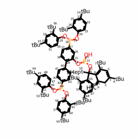 C=C1CC(C(C)(C)C)=CC(C(C)(C)C)=C1C(CCCCCCC)(OP(O)Oc1cc(P(Oc2ccc(C(C)(C)C)cc2C(C)(C)C)Oc2ccc(C(C)(C)C)cc2C(C)(C)C)ccc1-c1ccc(P(Oc2ccc(C(C)(C)C)cc2C(C)(C)C)Oc2ccc(C(C)(C)C)cc2C(C)(C)C)cc1)c1ccc(C(C)(C)C)cc1C(C)(C)C